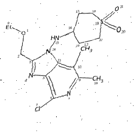 CCOCc1nc2c(Cl)nc(C)c(C)c2n1NC1CCS(=O)(=O)CC1